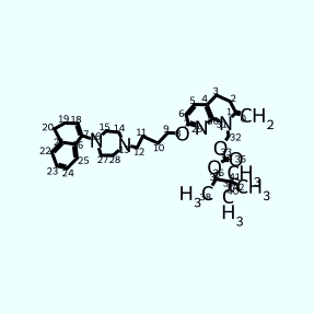 C=C1CCc2ccc(OCCCCN3CCN(C4=CCCc5ccccc54)CC3)nc2N1COC(=O)OC(C)C(C)(C)C